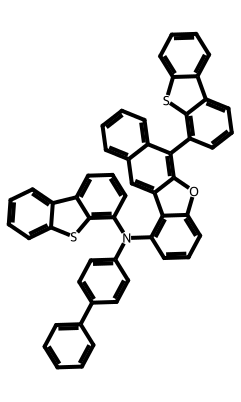 c1ccc(-c2ccc(N(c3cccc4c3sc3ccccc34)c3cccc4oc5c(-c6cccc7c6sc6ccccc67)c6ccccc6cc5c34)cc2)cc1